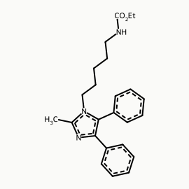 CCOC(=O)NCCCCCn1c(C)nc(-c2ccccc2)c1-c1ccccc1